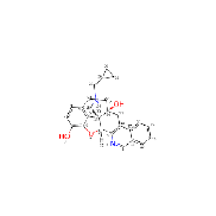 Oc1ccc2c3c1O[C@H]1c4ncc5ccccc5c4C[C@@]4(O)C(C2)N(CC2CC2)CC[C@]314